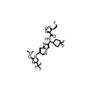 COC[C@H](c1cnn2cc([C@@H](NC(=O)c3nonc3/C=C\F)C3CCC(F)(F)CC3)nc2c1)N1CC(C(F)(F)F)=NC1=O